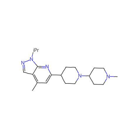 Cc1cc(C2CCN(C3CCN(C)CC3)CC2)nc2c1cnn2C(C)C